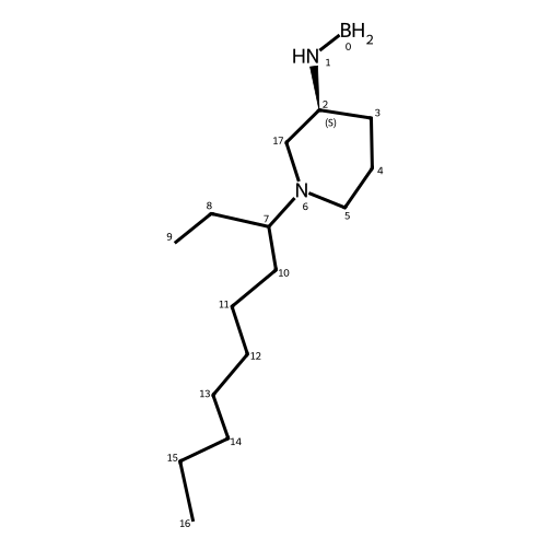 BN[C@H]1CCCN(C(CC)CCCCCCC)C1